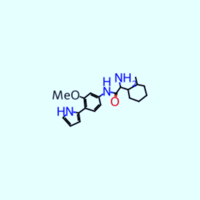 COc1cc(NC(=O)C(N)C2CCCCC2C)ccc1-c1ccc[nH]1